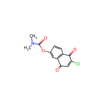 CN(C)C(=O)Oc1ccc2c(c1)C(=O)C=C(Cl)C2=O